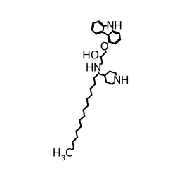 CCCCCCCCCCCCCCCC(NC[C@H](O)COc1cccc2[nH]c3ccccc3c12)C1CCNCC1